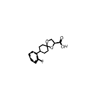 O=C(O)C1COC2(CCC(c3ccccc3F)CC2)O1